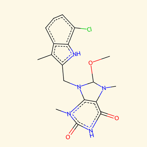 COC1N(C)c2c(n(C)c(=O)[nH]c2=O)N1Cc1[nH]c2c(Cl)cccc2c1C